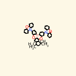 CC1(C)CCC(C)(C)c2c1cc1c3c2Oc2cc(N4c5ccccc5Oc5ccccc54)ccc2B3c2ccc(N3c4ccccc4Oc4ccccc43)cc2O1